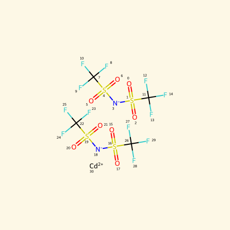 O=S(=O)([N-]S(=O)(=O)C(F)(F)F)C(F)(F)F.O=S(=O)([N-]S(=O)(=O)C(F)(F)F)C(F)(F)F.[Cd+2]